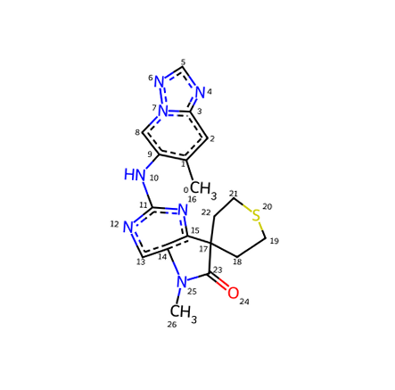 Cc1cc2ncnn2cc1Nc1ncc2c(n1)C1(CCSCC1)C(=O)N2C